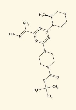 C[C@H]1COCCN1c1nc(/C(N)=N/O)cc(N2CCN(C(=O)OC(C)(C)C)CC2)n1